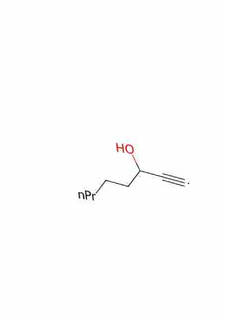 [C]#CC(O)CCCCC